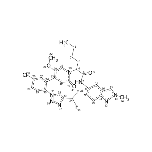 CCCCC(C(=O)Nc1ccc2nn(C)cc2c1)n1cc(OC)c(-c2cc(Cl)ccc2-n2cc(C(F)F)nn2)cc1=O